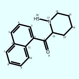 O=C(c1cccc2ccccc12)C1CCCCN1S